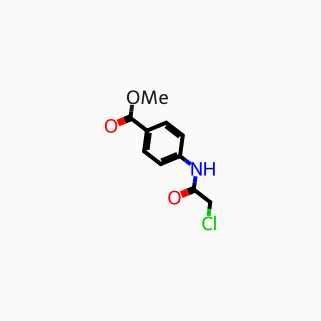 COC(=O)c1ccc(NC(=O)CCl)cc1